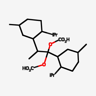 CC1CCC(C(C)C)C(C(C)C(OC(=O)O)(OC(=O)O)C2CC(C)CCC2C(C)C)C1